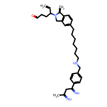 C=CC(CCC=O)N1Cc2cc(CCCCCCCNCc3ccc(C(=N)CC(C)=N)cc3)ccc2C1=C